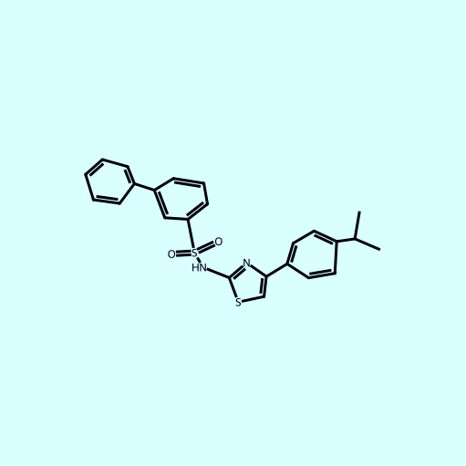 CC(C)c1ccc(-c2csc(NS(=O)(=O)c3cccc(-c4ccccc4)c3)n2)cc1